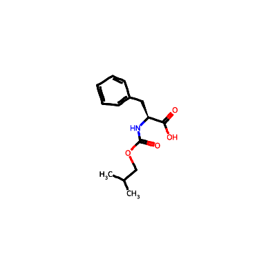 CC(C)COC(=O)N[C@@H](Cc1ccccc1)C(=O)O